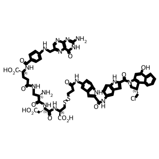 Nc1nc2ncc(CNc3ccc(C(=O)N[C@H](CCC(=O)NC[C@H](N)C(=O)N[C@@H](CC(=O)O)C(=O)N[C@@H](CSSCCC(=O)Nc4ccc5[nH]c(C(=O)Nc6ccc7[nH]c(C(=O)N8C[C@@H](CCl)c9c8cc(O)c8ccccc98)cc7c6)cc5c4)C(=O)O)C(=O)O)cc3)nc2c(=O)[nH]1